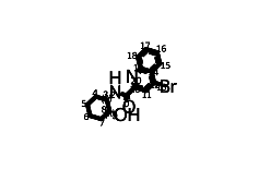 O=C(N[C@H]1CCCC[C@H]1O)c1cc(Br)c2ccccc2n1